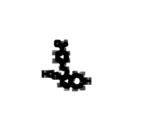 CC(=O)c1ccc(CSc2c(Cl)ccc3c2CCNCC3)cc1.Cl